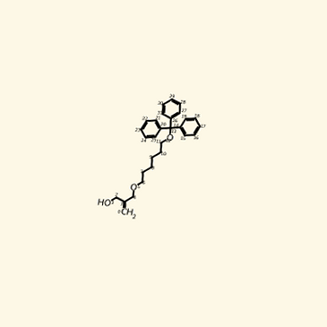 C=C(CO)COCCCCCCOC(c1ccccc1)(c1ccccc1)c1ccccc1